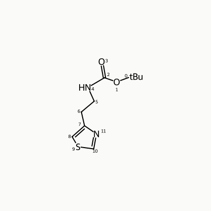 CC(C)(C)OC(=O)NCCc1cscn1